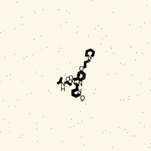 COc1cccc(-c2nc3ccc(OCCCN4CCCCC4)cc3c(=O)n2CC(=O)NC(C)C)n1